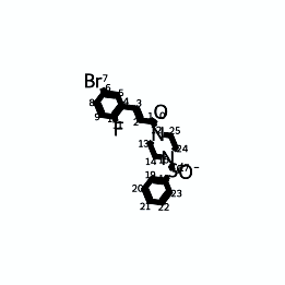 O=C(/C=C/c1cc(Br)ccc1F)N1CCN([S+]([O-])c2ccccc2)CC1